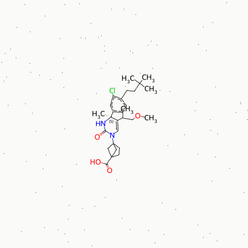 COCC(C)C1=CN(C23CCC(C(=O)O)(C2)C3)C(=O)N[C@@]1(C)c1ccc(CCC(C)(C)C)c(Cl)c1